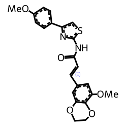 COc1ccc(-c2csc(NC(=O)/C=C/c3cc(OC)c4c(c3)OCCO4)n2)cc1